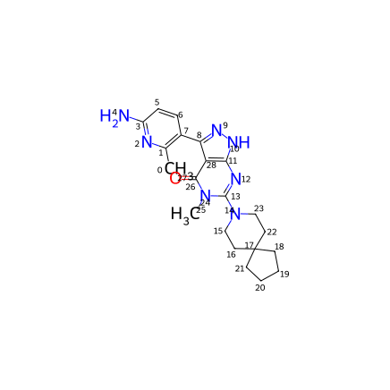 Cc1nc(N)ccc1-c1n[nH]c2nc(N3CCC4(CCCC4)CC3)n(C)c(=O)c12